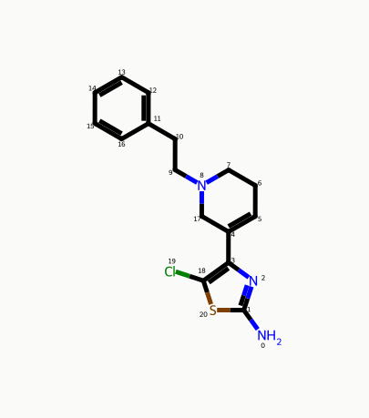 Nc1nc(C2=CCCN(CCc3ccccc3)C2)c(Cl)s1